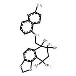 Cc1ccc2c(NCC3(O)c4ccc5c(c4C(C)(C)CC3(O)C(F)(F)F)OCO5)cccc2n1